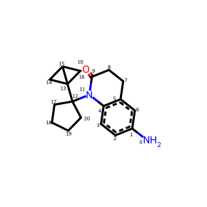 Nc1ccc2c(c1)CCC(=O)N2C1(C23CC2C3)CCCC1